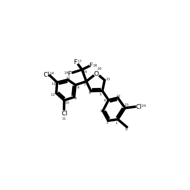 Cc1ccc(C2=CC(c3cc(Cl)cc(Cl)c3)(C(F)(F)F)OC2)cc1Cl